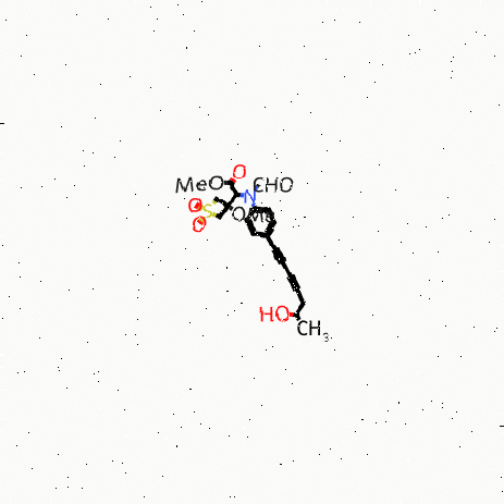 COC(=O)C(N(C=O)c1ccc(C#CC#CCC(C)O)cc1)C1(OC)CS(=O)(=O)C1